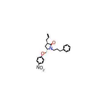 C=CC[C@@H]1C[C@@H](COc2ccc([N+](=O)[O-])cc2)N(CCCc2ccccc2)C1=O